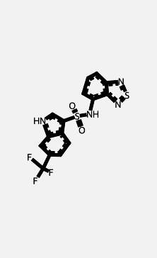 O=S(=O)(Nc1cccc2nsnc12)c1c[nH]c2cc(C(F)(F)F)ccc12